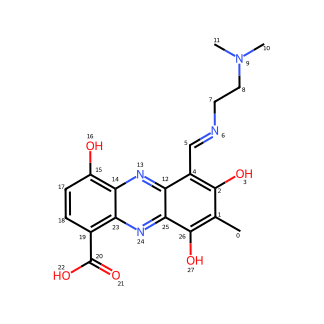 Cc1c(O)c(C=NCCN(C)C)c2nc3c(O)ccc(C(=O)O)c3nc2c1O